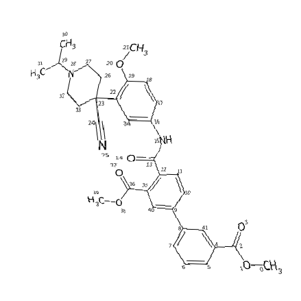 COC(=O)c1cccc(-c2ccc(C(=O)Nc3ccc(OC)c(C4(C#N)CCN(C(C)C)CC4)c3)c(C(=O)OC)c2)c1